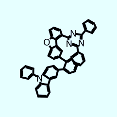 c1ccc(-c2nc(-c3ccccc3)nc(-c3cccc4oc5ccc(-c6ccccc6-c6ccc7c(c6)c6ccccc6n7-c6ccccc6)cc5c34)n2)cc1